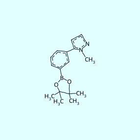 Cn1nccc1-c1cccc(B2OC(C)(C)C(C)(C)O2)c1